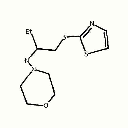 CCC(CSc1nccs1)[N]N1CCOCC1